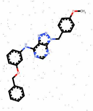 COc1ccc(Cn2nnc3c(Nc4cccc(OCc5ccccc5)c4)ncnc32)cc1